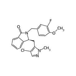 COc1ccc(CN2C(=O)c3ccccc3[C@@H]2Cc2c(Cl)cnn2C)cc1F